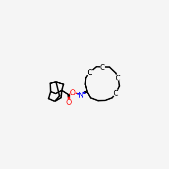 O=C(ON=C1CCCCCCCCCCCCCC1)C12CC3CC(CC(C3)C1)C2